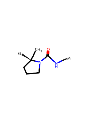 CC[C@]1(C)CCCN1C(=O)NC(C)C